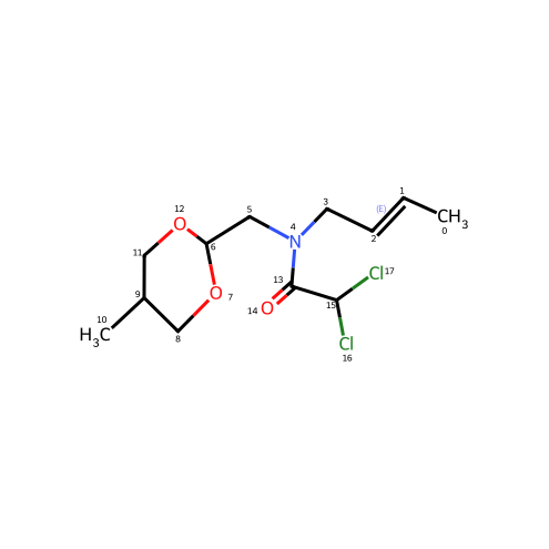 C/C=C/CN(CC1OCC(C)CO1)C(=O)C(Cl)Cl